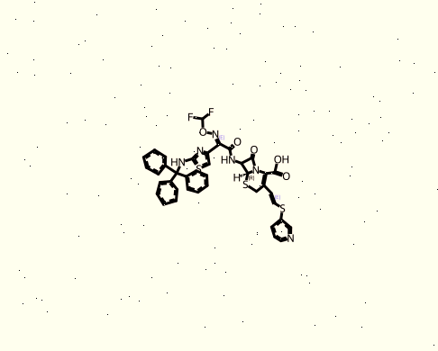 O=C(O)C1=C(/C=C/Sc2cccnc2)CS[C@@H]2C(NC(=O)/C(=N/OC(F)F)c3csc(NC(c4ccccc4)(c4ccccc4)c4ccccc4)n3)C(=O)N12